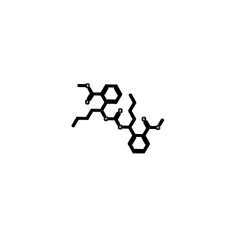 CCCCC(OC(=O)OC(CCCC)c1ccccc1C(=O)OC)c1ccccc1C(=O)OC